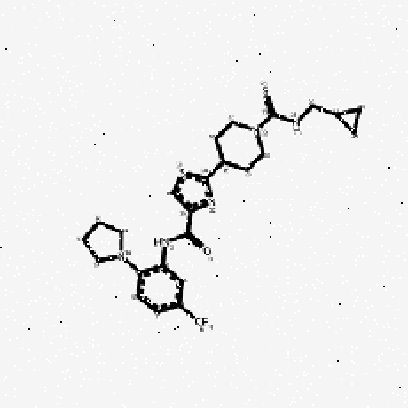 O=C(Nc1cc(C(F)(F)F)ccc1N1CCCC1)c1csc(C2CCN(C(=S)NCC3CC3)CC2)n1